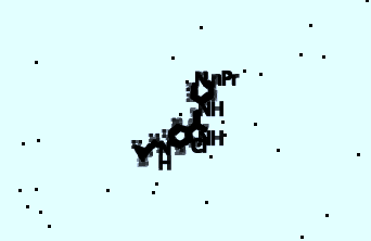 CCCc1cc(N/C=C(\C=N)c2ccc(NCC3CC3)cc2Cl)ccn1